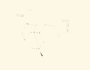 Cc1ccn(CC23CC4C[C@@H](C2)CC(C(=O)O)(C4)C3)n1